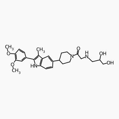 COc1ccc(-c2[nH]c3ccc(C4CCN(C(=O)CNCC(O)CO)CC4)cc3c2C)cc1OC